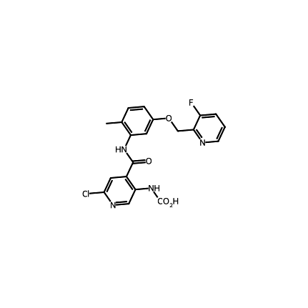 Cc1ccc(OCc2ncccc2F)cc1NC(=O)c1cc(Cl)ncc1NC(=O)O